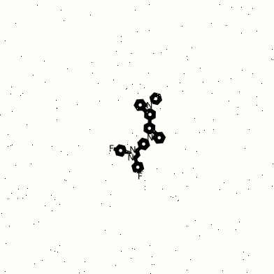 Fc1ccc(-c2cc(-c3ccc(-n4c5ccccc5c5cc(-c6ccc7c(c6)c6ccccc6n7-c6ccccc6)ccc54)cc3)nc(-c3ccc(F)cc3)n2)cc1